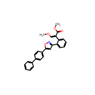 COC=C(C(=O)OC)c1ccccc1-c1cc(-c2ccc(-c3ccccc3)cc2)on1